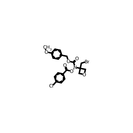 COc1ccc(COC(=O)N(OC(=O)c2ccc(Cl)cc2)C2(CBr)COC2)cc1